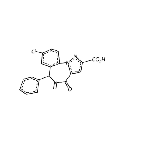 O=C(O)c1cc2n(n1)-c1ccc(Cl)cc1C(c1ccccc1)NC2=O